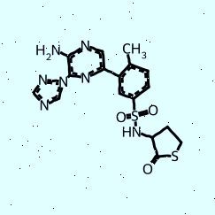 Cc1ccc(S(=O)(=O)NC2CCSC2=O)cc1-c1cnc(N)c(-n2cncn2)n1